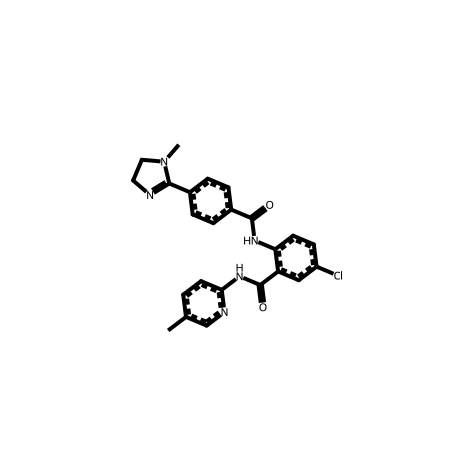 Cc1ccc(NC(=O)c2cc(Cl)ccc2NC(=O)c2ccc(C3=NCCN3C)cc2)nc1